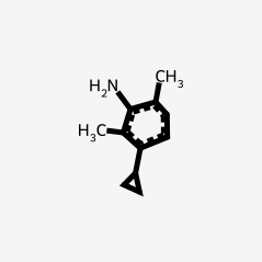 Cc1ccc(C2CC2)c(C)c1N